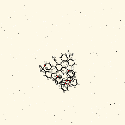 N#Cc1c(-c2ccccc2)c(-n2c3cc(C(F)(F)F)ccc3c3ccc(C(F)(F)F)cc32)c(N2c3ccccc3C3(c4ccccc4-c4ccccc43)c3ccccc32)c(-n2c3cc(C(F)(F)F)ccc3c3ccc(C(F)(F)F)cc32)c1-c1ccccc1